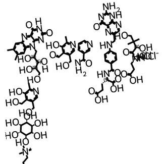 CC(C)(CO)[C@@H](O)C(=O)NCCC(=O)O.C[N+](C)(C)CCO.Cc1cc2nc3c(=O)[nH]c(=O)nc-3n(C[C@H](O)[C@H](O)[C@H](O)CO)c2cc1C.Cc1ncc(CO)c(C=O)c1O.Cc1ncc(CO)c(CO)c1O.Cl.Cl.NC(=O)c1cccnc1.Nc1nc(=O)c2nc(CNc3ccc(C(=O)N[C@@H](CCC(=O)O)C(=O)O)cc3)cnc2[nH]1.O[C@H]1[C@H](O)[C@@H](O)[C@H](O)[C@@H](O)[C@H]1O.[Cl-]